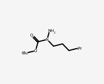 CC(C)CCCN(N)C(=O)OC(C)(C)C